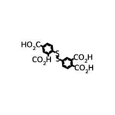 O=C(O)c1ccc(SSc2ccc(C(=O)O)c(C(=O)O)c2)c(C(=O)O)c1